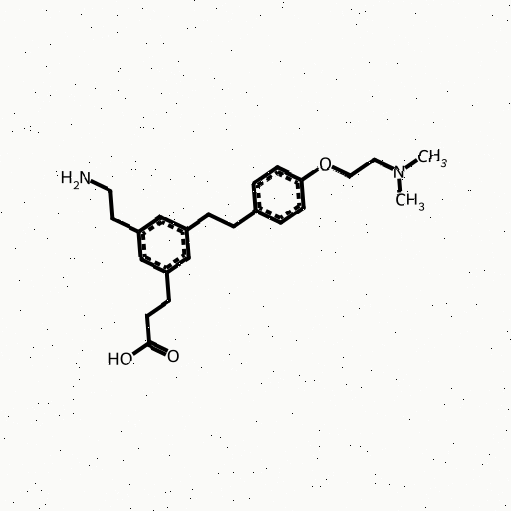 CN(C)CCOc1ccc(CCc2cc(CCN)cc(CCC(=O)O)c2)cc1